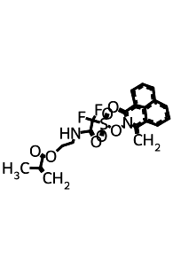 C=C(C)C(=O)OCCNC(=O)C(F)(F)S(=O)(=O)On1c(=C)c2cccc3cccc(c1=O)c32